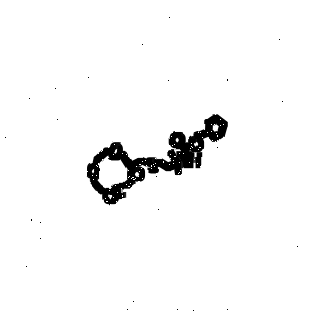 CC(C)(CCSCC1COCCOCCOCCO1)NC(=O)OCc1ccccc1